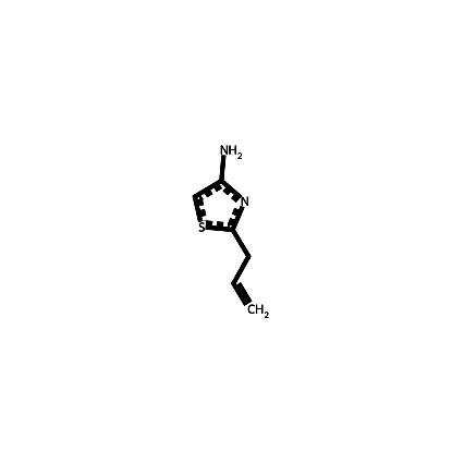 C=CCc1nc(N)cs1